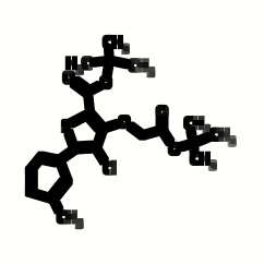 Cc1cccc(-c2sc(C(=O)OC(C)(C)C)c(OCC(=O)OC(C)(C)C)c2Cl)c1